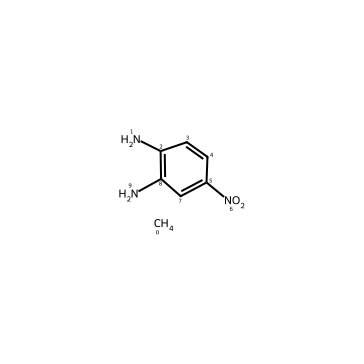 C.Nc1ccc([N+](=O)[O-])cc1N